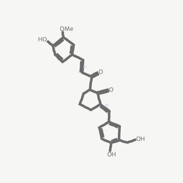 COc1cc(/C=C/C(=O)C2CCC/C(=C\c3ccc(O)c(CO)c3)C2=O)ccc1O